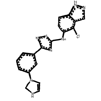 Clc1c(Nc2nc(-c3cccc(N4C=CNC4)c3)ns2)ccc2[nH]ncc12